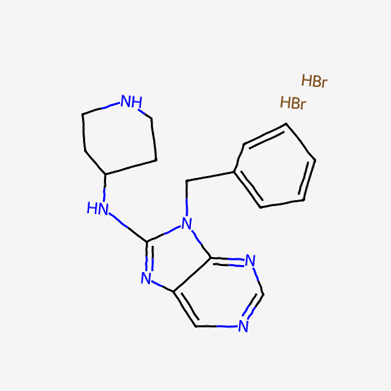 Br.Br.c1ccc(Cn2c(NC3CCNCC3)nc3cncnc32)cc1